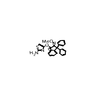 CON=C(C(=O)Oc1csc(N)n1)C(c1ccccc1)(c1ccccc1)c1ccccc1